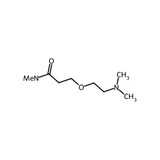 CNC(=O)CCOCCN(C)C